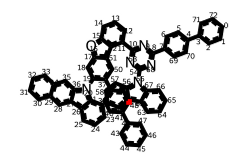 c1ccc(-c2ccc(-c3nc(-c4cccc5oc6cc(-n7c8ccccc8c8cc9ccccc9cc87)c(-c7ccc(-c8ccccc8)cc7)cc6c45)nc(-n4c5ccccc5c5ccccc54)n3)cc2)cc1